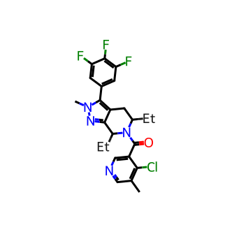 CCC1Cc2c(nn(C)c2-c2cc(F)c(F)c(F)c2)C(CC)N1C(=O)c1cncc(C)c1Cl